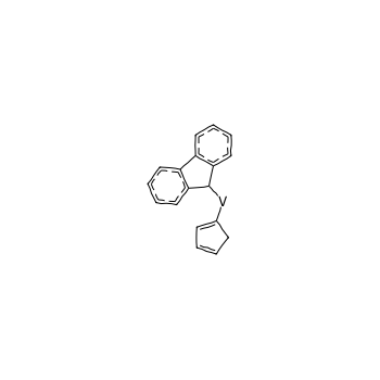 C1=CC[C]([V][CH]2c3ccccc3-c3ccccc32)=C1